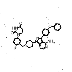 Nc1ncnc2c1c(-c1ccc(Oc3ccccc3)cc1)nn2C1CCN(Cc2cc(N3CCC(=O)NC3=O)ccc2F)CC1